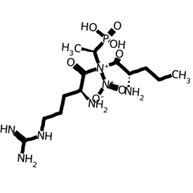 CCC[C@H](N)C(=O)[N+](C(=O)[C@@H](N)CCCNC(=N)N)([C@@H](C)P(=O)(O)O)[N+](=O)[O-]